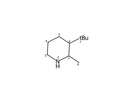 CC1NCCCC1C(C)(C)C